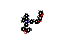 c1ccc2c(c1)cc(N(c1ccc(-c3ccc4oc5cc6oc7ccccc7c6cc5c4c3)cc1)c1ccc(-c3cccc4oc5ccccc5c34)cc1)c1ccccc12